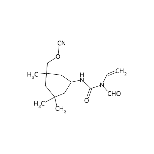 C=CN(C=O)C(=O)NC1CC(C)(C)CC(C)(COC#N)C1